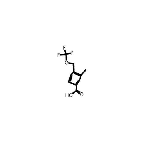 Cc1cc(C(=O)O)ccc1COC(F)(F)F